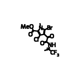 COC(=O)c1c(Cl)c(C(=O)C(=O)N[C@H](C)C(F)(F)F)c(Br)n1C